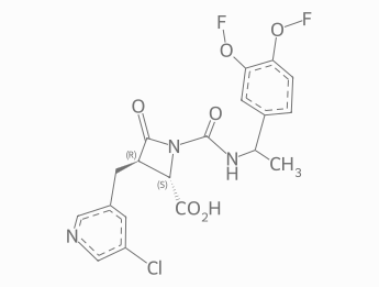 CC(NC(=O)N1C(=O)[C@H](Cc2cncc(Cl)c2)[C@H]1C(=O)O)c1ccc(OF)c(OF)c1